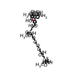 CCN1C(=O)N[C@H]2CS[C@@H](CCCCC(=O)NCCOCCOCCOCCOCCC(=O)N[C@@H](CCCCNC(=O)c3ccc(C4=C5C=CC(N)C(S(=O)(=O)O)=C5Oc5c4ccc(N)c5S(=O)(=O)O)c(C(=O)O)c3)C(=O)OC)[C@H]21